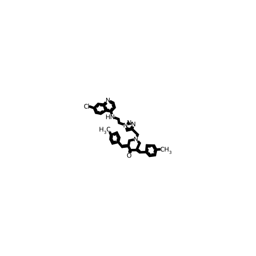 Cc1ccc(/C=C2\CN(Cc3cn(CCNc4ccnc5cc(Cl)ccc45)nn3)C/C(=C\c3ccc(C)cc3)C2=O)cc1